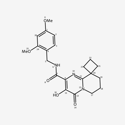 COc1ccc(CNC(=O)c2nc3n(c(=O)c2O)CCCC32CCC2)c(OC)c1